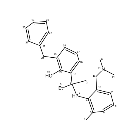 CCC(C)(Pc1c(C)cccc1CN(C)C)c1cccc(Cc2ccccc2)c1O